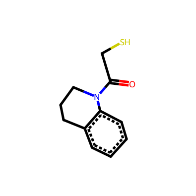 O=C(CS)N1CCCc2ccccc21